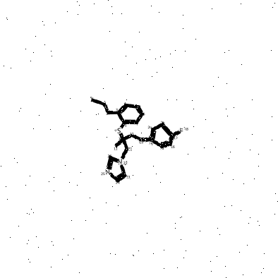 CCCc1ccccc1SC(C)(CCc1ccc(F)cc1)Cn1ccnc1